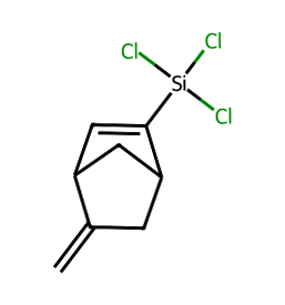 C=C1CC2CC1C=C2[Si](Cl)(Cl)Cl